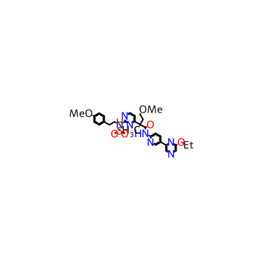 CCOc1cncc(-c2ccc(NC(=O)C(C)(CCOC)c3ccnc(N(CCc4ccc(OC)cc4)[SH](=O)=O)n3)nc2)n1